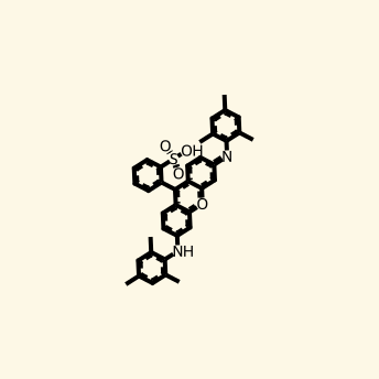 Cc1cc(C)c(/N=c2\ccc3c(-c4ccccc4S(=O)(=O)O)c4ccc(Nc5c(C)cc(C)cc5C)cc4oc-3c2)c(C)c1